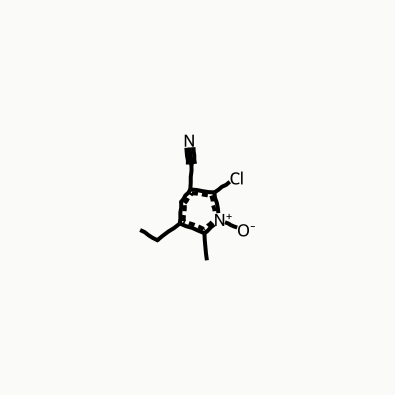 CCc1cc(C#N)c(Cl)[n+]([O-])c1C